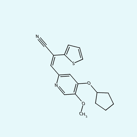 COc1cnc(C=C(C#N)c2cccs2)cc1OC1CCCC1